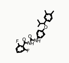 Cc1ccc(C(Oc2ccc(NC(=O)NC(=O)c3c(F)cccc3F)cc2)C(C)C)cc1C